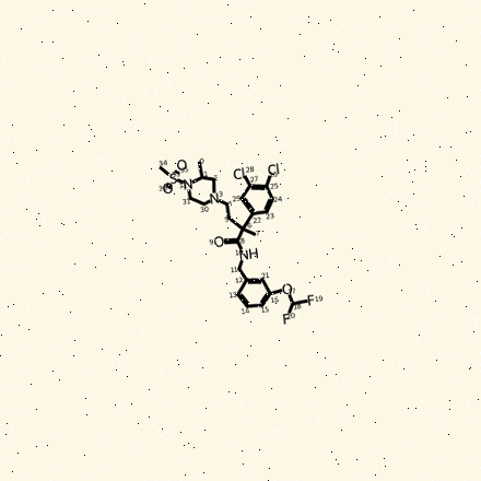 CC1CN(CCC(C)(C(=O)NCc2cccc(OC(F)F)c2)c2ccc(Cl)c(Cl)c2)CCN1S(C)(=O)=O